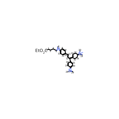 CCOC(=O)CCCCN(C)c1ccc(/C=C/C(=C2CCC(=[N+](C)C)CC2)c2ccc(N(C)C)cc2)cc1